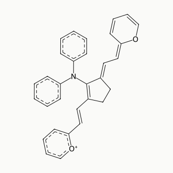 C1=CO/C(=C/C=C2\CCC(/C=C/c3cccc[o+]3)=C2N(c2ccccc2)c2ccccc2)C=C1